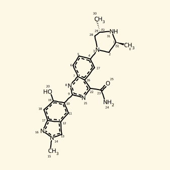 C[C@H]1CN(c2ccc3nc(-c4cc5cn(C)nc5cc4O)nc(C(N)=O)c3c2)C[C@H](C)N1